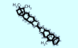 C=C1C2CC1(C)C(C)c1cc3cc4c(cc3cc12)S/C(=C1/Sc2cc3cc5c(cc3cc2S1)C1C=CC5CC1C(C)C)S4